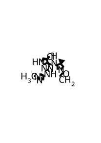 C=CC(=O)N1CC(Nc2nc(Nc3cnn(C)c3)nc3[nH]cc(Cl)c23)C2(CC2)C1